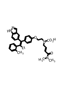 CCC(=C(c1ccc(OCCN(CC=CC(=O)N(C)C)C(=O)O)cc1)c1ccc2[nH]ncc2c1)c1ccccc1C